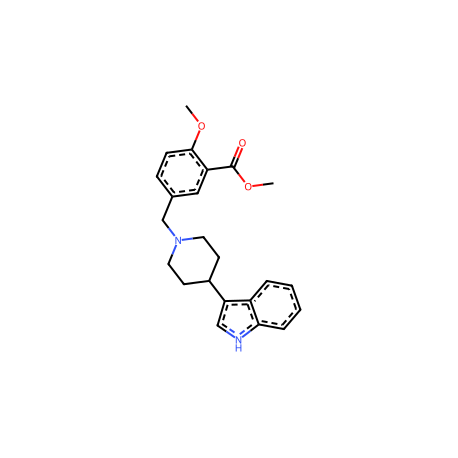 COC(=O)c1cc(CN2CCC(c3c[nH]c4ccccc34)CC2)ccc1OC